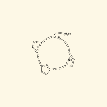 C1=Cc2cc3ccc(cc4nc(cc5ccc(cc1n2)[nH]5)C=C4)[nH]3.[SeH2]